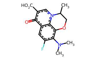 CC1COc2c(N(C)C)c(F)cc3c(=O)c(C(=O)O)cn1c23